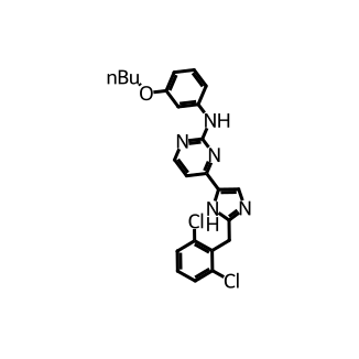 CCCCOc1cccc(Nc2nccc(-c3cnc(Cc4c(Cl)cccc4Cl)[nH]3)n2)c1